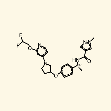 C[C@H](NC(=O)c1cnn(C)c1)c1ccc(OC2CCN(c3ccnc(OCC(F)F)c3)C2)cc1